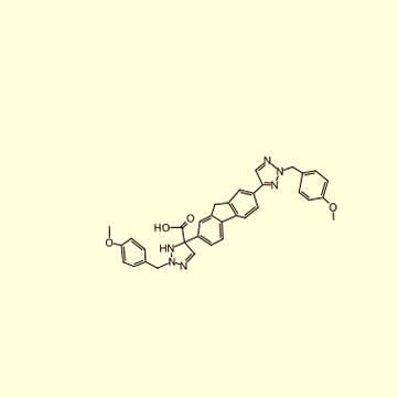 COc1ccc(CN2N=CC(C(=O)O)(c3ccc4c(c3)Cc3cc(-c5cnn(Cc6ccc(OC)cc6)n5)ccc3-4)N2)cc1